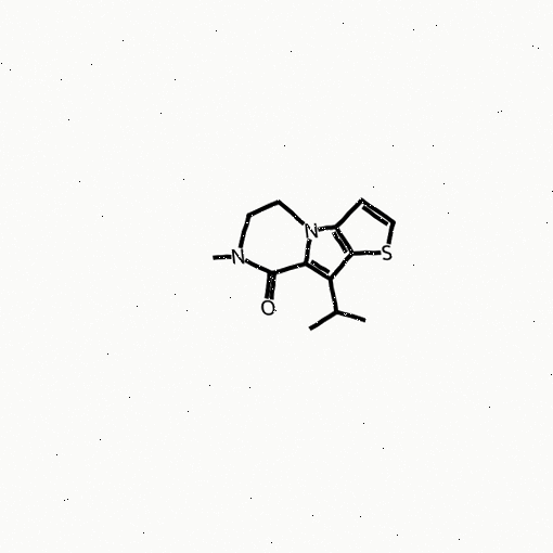 CC(C)c1c2n(c3ccsc13)CCN(C)C2=O